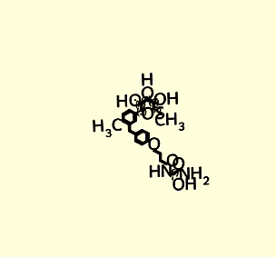 CS[C@H]1O[C@@H](c2ccc(C)c(Cc3ccc(OCCCC(=O)N[C@@H](CO)C(N)=O)cc3)c2)[C@H](O)[C@@H](O)[C@@H]1O